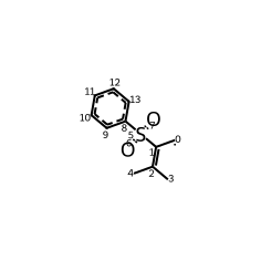 [CH2]C(=C(C)C)S(=O)(=O)c1ccccc1